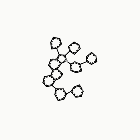 c1ccc(-c2c(-c3ccccc3)n(-c3cccc(-c4ccncc4)n3)c3c2ccc2c4cccc(-c5cccc(-c6ccncc6)n5)c4ccc23)cc1